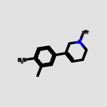 CCCN1CCC=C(c2ccc([N+](=O)[O-])c(C)c2)C1